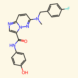 CN(Cc1ccc(F)cc1)c1ccc2ncc(C(=O)Nc3ccc(O)cc3)n2n1